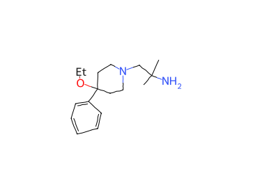 CCOC1(c2ccccc2)CCN(CC(C)(C)N)CC1